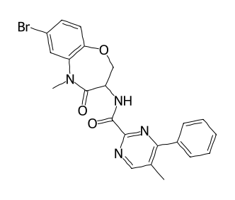 Cc1cnc(C(=O)NC2COc3ccc(Br)cc3N(C)C2=O)nc1-c1ccccc1